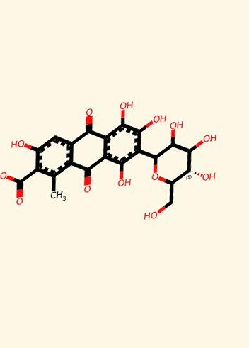 Cc1c(C(=O)O)c(O)cc2c1C(=O)c1c(O)c(C3OC(CO)[C@@H](O)C(O)C3O)c(O)c(O)c1C2=O